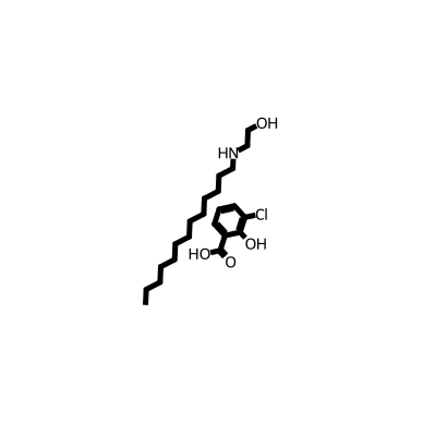 CCCCCCCCCCCCCNCCO.O=C(O)c1cccc(Cl)c1O